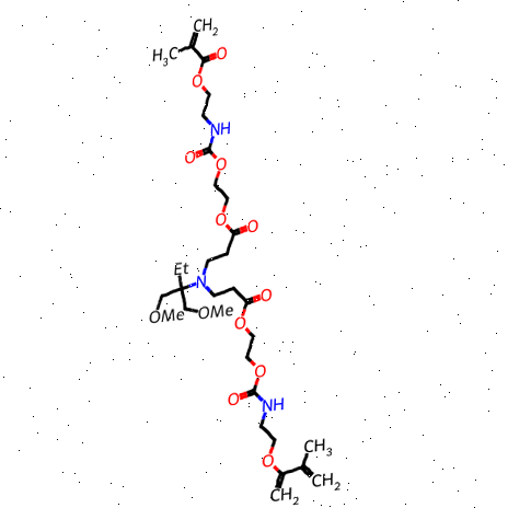 C=C(C)C(=C)OCCNC(=O)OCCOC(=O)CCN(CCC(=O)OCCOC(=O)NCCOC(=O)C(=C)C)C(CC)(COC)COC